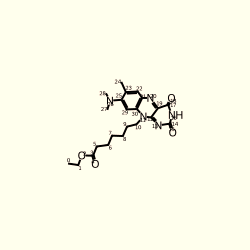 CCOC(=O)CCCCCCn1c2nc(=O)[nH]c(=O)c-2nc2cc(C)c(N(C)C)cc21